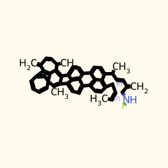 C=C(/C=C/C(C)c1ccc2c3ccc4c5c(ccc(c6ccc(C/C=C\C)c1c62)c53)C1=C(C)C23C=CC=CC(=C2)C2=C3C(=C14)C(C)C=CC2=C)CNF